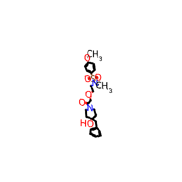 COc1ccc(S(=O)(=O)N(C)CCOCC(=O)N2CCC(O)(Cc3ccccc3)CC2)cc1